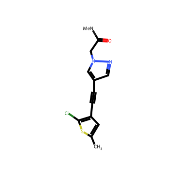 CNC(=O)Cn1cc(C#Cc2cc(C)sc2Cl)cn1